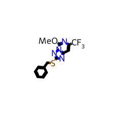 COc1nc(C(F)(F)F)cc2nc(SCc3ccccc3)nn12